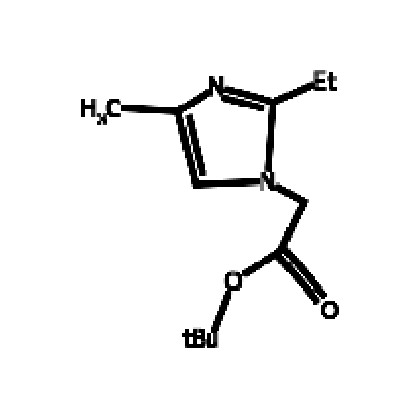 CCc1nc(C)cn1CC(=O)OC(C)(C)C